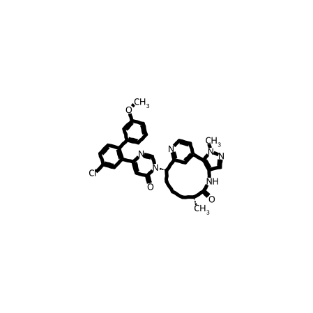 COc1cccc(-c2ccc(Cl)cc2-c2cc(=O)n([C@H]3CCC[C@@H](C)C(=O)Nc4cnn(C)c4-c4ccnc3c4)cn2)c1